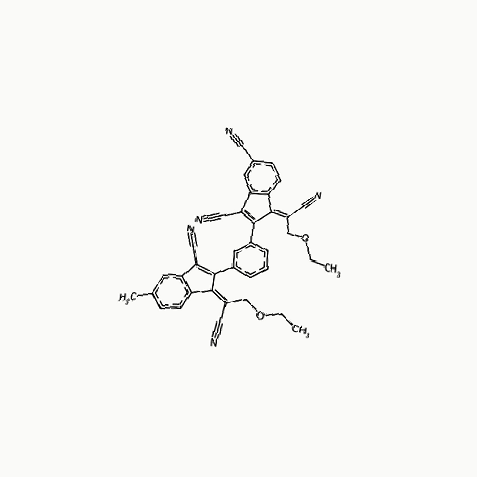 CCOC/C(C#N)=C1\C(c2cccc(C3=C(C#N)c4cc(C#N)ccc4/C3=C(\C#N)COCC)c2)=C(C#N)c2cc(C)ccc21